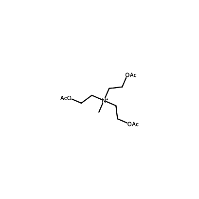 CC(=O)OCC[N+](C)(CCOC(C)=O)CCOC(C)=O